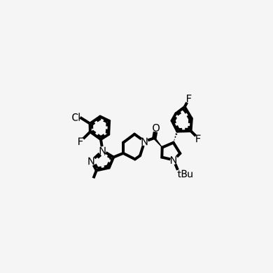 Cc1cc(C2CCN(C(=O)[C@@H]3CN(C(C)(C)C)C[C@H]3c3ccc(F)cc3F)CC2)n(-c2cccc(Cl)c2F)n1